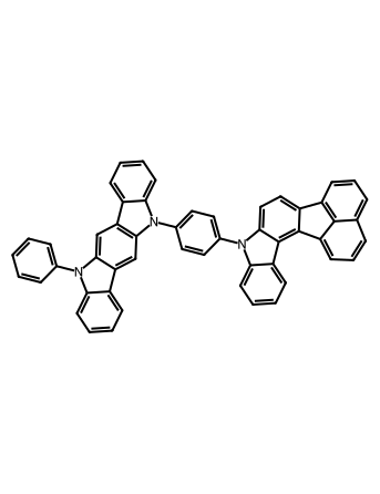 c1ccc(-n2c3ccccc3c3cc4c(cc32)c2ccccc2n4-c2ccc(-n3c4ccccc4c4c5c(ccc43)-c3cccc4cccc-5c34)cc2)cc1